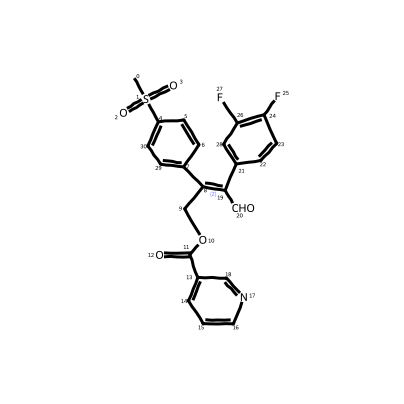 CS(=O)(=O)c1ccc(/C(COC(=O)c2cccnc2)=C(/C=O)c2ccc(F)c(F)c2)cc1